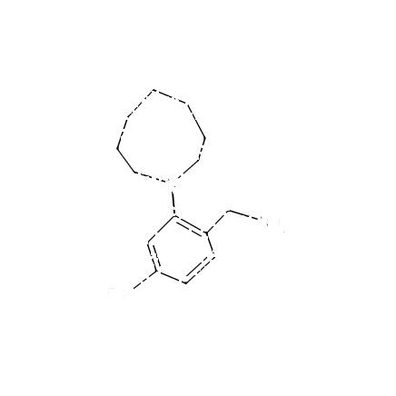 NCc1ccc(C(F)(F)F)cc1N1CCCCCCC1